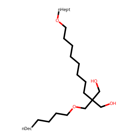 CCCCCCCCCCCCCCOCC(CO)(CO)CCCCCCCCOCCCCCCC